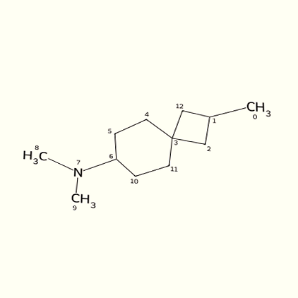 CC1CC2(CCC(N(C)C)CC2)C1